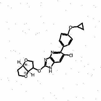 Clc1cc2[nH]c(OC3CO[C@@H]4CCO[C@H]34)nc2nc1-c1ccc(OC2CC2)cc1